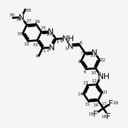 Cc1nc(N/N=C/c2ccc(Nc3cccc(C(F)(F)F)c3)cn2)nc2cc(N(C)C)ccc12